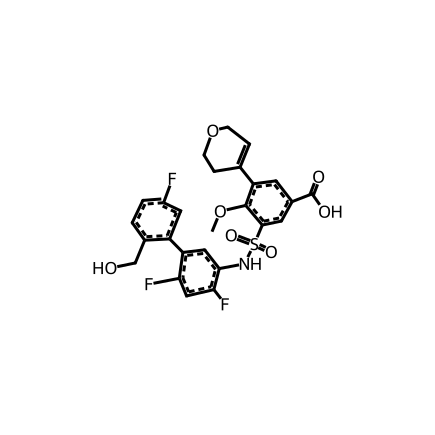 COc1c(C2=CCOCC2)cc(C(=O)O)cc1S(=O)(=O)Nc1cc(-c2cc(F)ccc2CO)c(F)cc1F